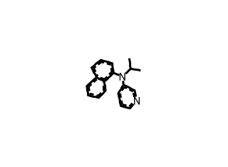 CC(C)N(c1cccnc1)c1cccc2ccccc12